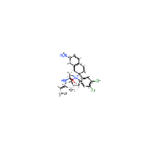 C[N+]1([C@]2(c3ccc(Cl)c(Cl)c3)CCc3ccc(N)cc3[C@H]2CC(=O)N/C(=C/C=O)C(=O)O)CCCC1